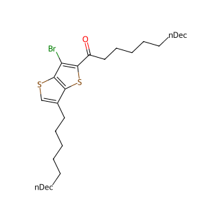 CCCCCCCCCCCCCCCC(=O)c1sc2c(CCCCCCCCCCCCCCC)csc2c1Br